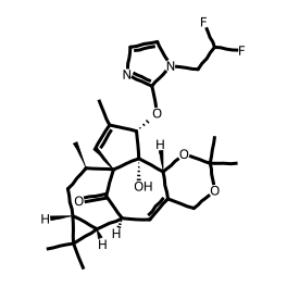 CC1=C[C@]23C(=O)[C@@H](C=C4COC(C)(C)O[C@H]4[C@]2(O)[C@H]1Oc1nccn1CC(F)F)[C@H]1[C@@H](C[C@H]3C)C1(C)C